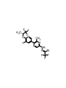 Cc1nc(NN=C(Br)C(F)(F)F)cnc1-c1cnc(O[C@H](C)C(F)(F)F)c(F)c1